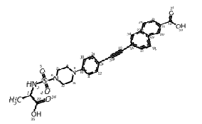 C[C@@H](NS(=O)(=O)N1CCN(c2ccc(C#Cc3ccc4cc(C(=O)O)ccc4c3)cc2)CC1)C(=O)O